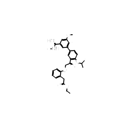 CCOC(=O)Cc1ccccc1OCc1nn(C(C)C)c2ccc(-c3cc(OC)cc(C(=N)NO)c3)cc12